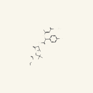 COC(=O)C=C(C)NC(C(=O)N[C@@H]1C(=O)N2[C@@H]1SC(C)(C)[C@@H]2C(=O)OCI)c1ccc(O)cc1